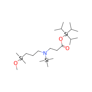 CO[Si](C)(C)CCCN(CCC(=O)O[Si](C(C)C)(C(C)C)C(C)C)[Si](C)(C)C